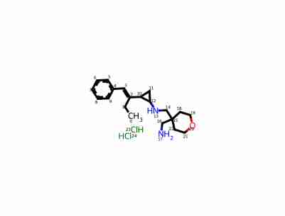 CC/C(=C\c1ccccc1)C1CC1NCC1(CN)CCOCC1.Cl.Cl